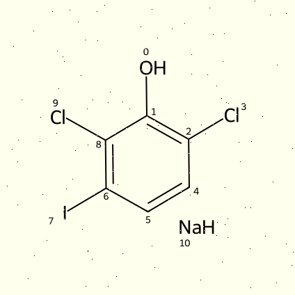 Oc1c(Cl)ccc(I)c1Cl.[NaH]